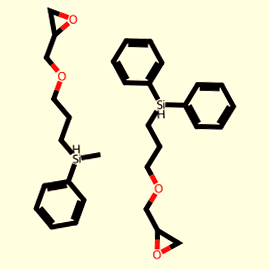 C[SiH](CCCOCC1CO1)c1ccccc1.c1ccc([SiH](CCCOCC2CO2)c2ccccc2)cc1